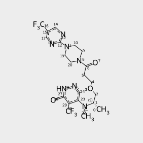 C[C@@H](COCCC(=O)N1CCN(c2ncc(C(F)(F)F)cn2)CC1)N(C)c1cn[nH]c(=O)c1C(F)(F)F